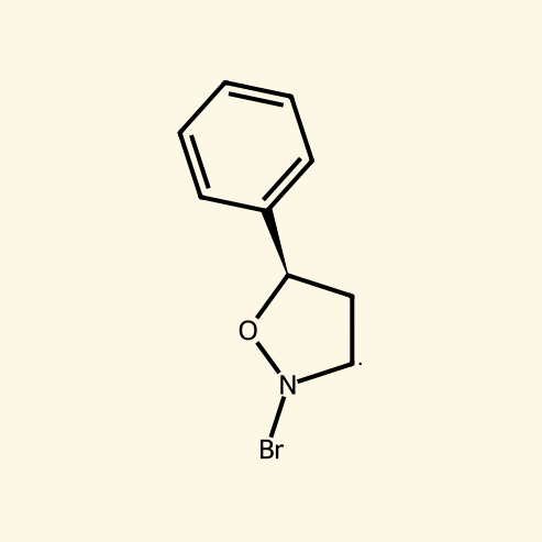 BrN1[CH]C[C@H](c2ccccc2)O1